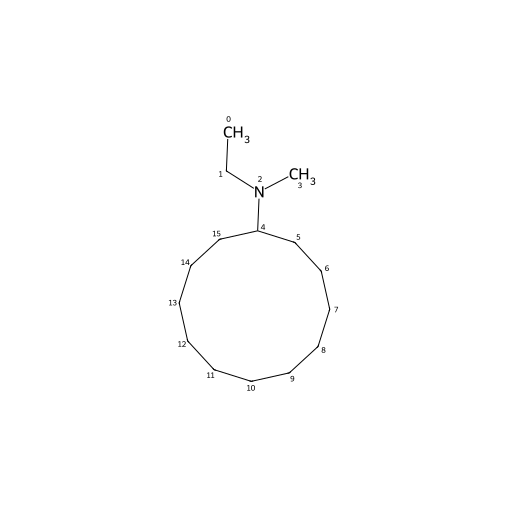 CCN(C)C1CCCCCCCCCCC1